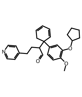 COc1ccc(C2(C(C=O)CCc3ccncc3)C=CC=CC2)cc1OC1CCCC1